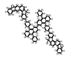 CC1(C)c2cc(-c3ccc(-c4c5ccccc5c(-c5ccccc5)c5ccc(-c6ccc7c(-c8ccccc8)c8ccccc8c(-c8ccc(-c9ccc%10c(c9)C(C)(C)c9ccc%11c(ccc%12oc%13ccccc%13c%12%11)c9-%10)cc8)c7c6)cc45)cc3)ccc2-c2c1ccc1cc3oc4ccccc4c3cc21